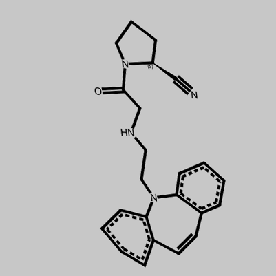 N#C[C@@H]1CCCN1C(=O)CNCCN1c2ccccc2C=Cc2ccccc21